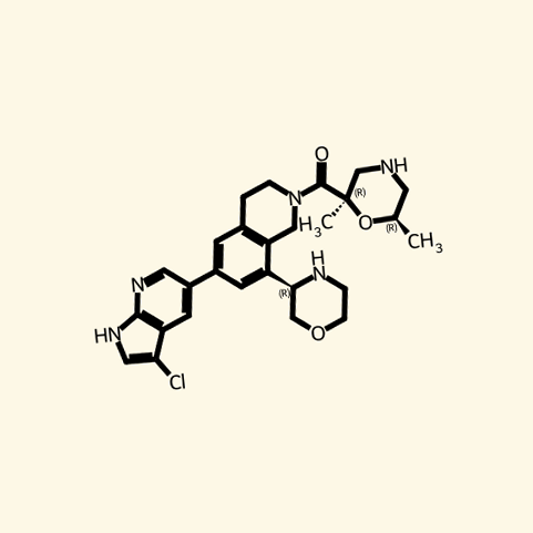 C[C@@H]1CNC[C@](C)(C(=O)N2CCc3cc(-c4cnc5[nH]cc(Cl)c5c4)cc([C@@H]4COCCN4)c3C2)O1